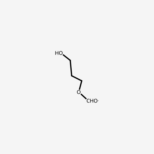 O=[C]OCCCO